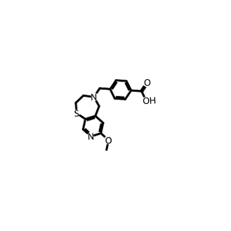 COc1cc2c(cn1)SCCN(Cc1ccc(C(=O)O)cc1)C2